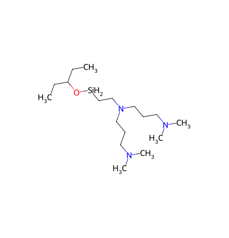 CCC(CC)O[SiH2]CCN(CCCN(C)C)CCCN(C)C